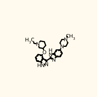 CCN1CCCC(Oc2cccc3[nH]nc(-c4nc5ccc(N6CCN(C)CC6)cc5[nH]4)c23)C1